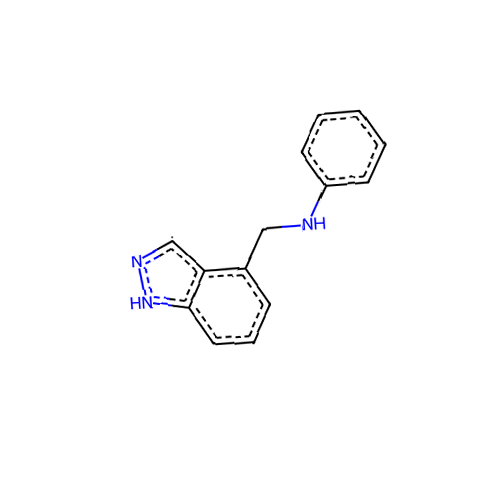 [c]1n[nH]c2cccc(CNc3ccccc3)c12